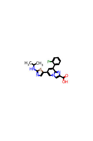 CC(C)Nc1ncc(-c2cc(-c3ccccc3F)c3nc(C(=O)O)cn3c2)s1